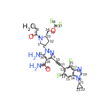 C=CC(=O)N1C[C@@H](n2nc(C#Cc3c(F)cc4c(ncn4C4CC4)c3F)c(C(N)=O)c2N)C[C@@H]1COC(F)F